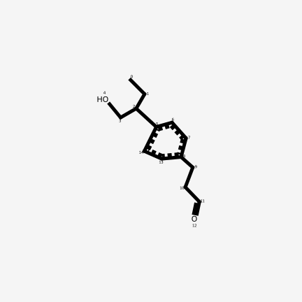 CCC(CO)c1ccc(CCC=O)cc1